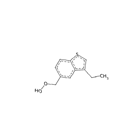 CCc1csc2ccc(COO)cc12